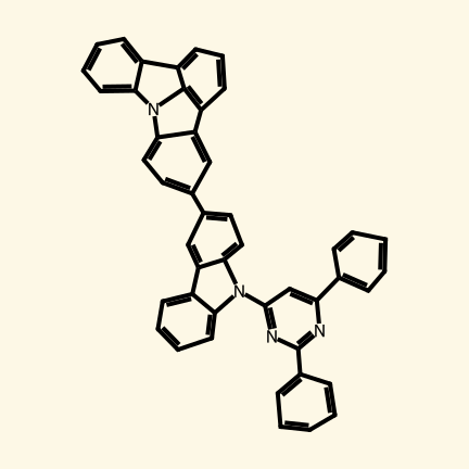 c1ccc(-c2cc(-n3c4ccccc4c4cc(-c5ccc6c(c5)c5cccc7c8ccccc8n6c75)ccc43)nc(-c3ccccc3)n2)cc1